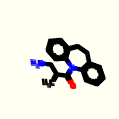 CC(CN)C(=O)N1c2ccccc2CCc2ccccc21